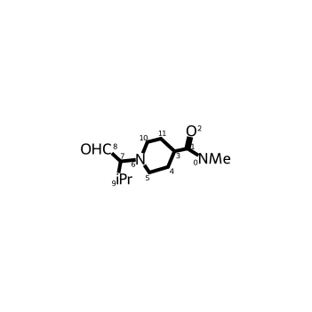 CNC(=O)C1CCN(C(C=O)C(C)C)CC1